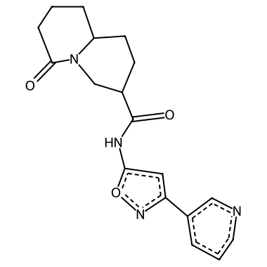 O=C(Nc1cc(-c2cccnc2)no1)C1CCC2CCCC(=O)N2C1